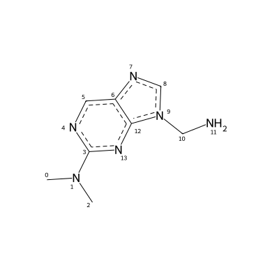 CN(C)c1ncc2ncn(CN)c2n1